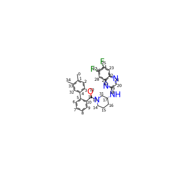 Cc1ccc(-c2ccccc2C(=O)N2CCC[C@@H](Nc3cnc4cc(F)c(F)cc4n3)C2)cc1C